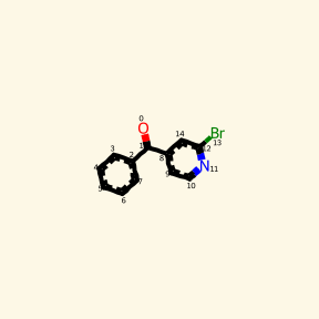 O=C(c1ccccc1)c1ccnc(Br)c1